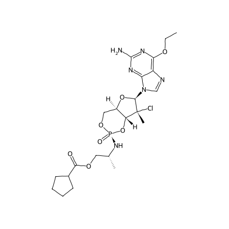 CCOc1nc(N)nc2c1ncn2[C@@H]1O[C@@H]2CO[P@](=O)(N[C@H](C)COC(=O)C3CCCC3)O[C@H]2[C@@]1(C)Cl